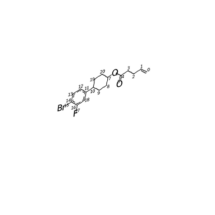 C=CCCC(=O)OC1CCC(c2ccc(Br)c(F)c2)CC1